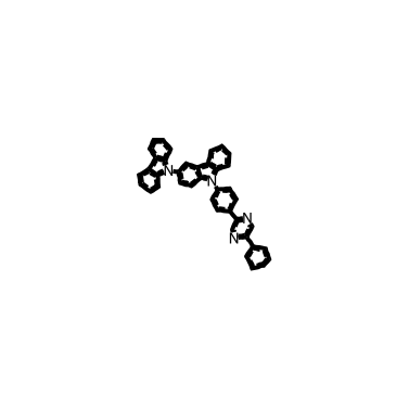 c1ccc(-c2cnc(-c3ccc(-n4c5ccccc5c5cc(-n6c7ccccc7c7ccccc76)ccc54)cc3)cn2)cc1